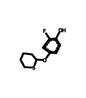 Oc1ccc(OC2CCCCS2)cc1F